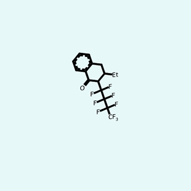 CCC1Cc2ccccc2C(=O)C1C(F)(F)C(F)(F)C(F)(F)C(F)(F)F